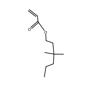 [CH2]CCC(C)(C)CCOC(=O)C=C